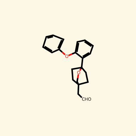 O=CCC12CCC(c3ccccc3Oc3ccccc3)(CC1)OC2